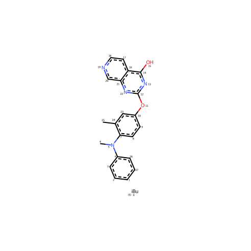 CC[C@H](C)c1ccc(N(C)c2ccc(Oc3nc(O)c4ccncc4n3)cc2C)cc1